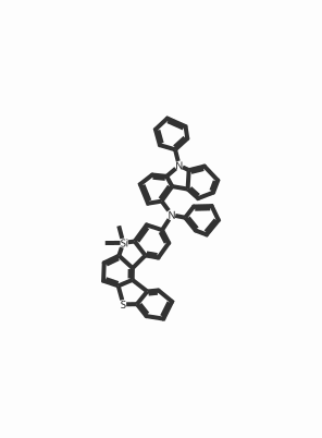 C[Si]1(C)c2cc(N(c3ccccc3)c3cccc4c3c3ccccc3n4-c3ccccc3)ccc2-c2c1ccc1sc3ccccc3c21